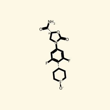 NC(=O)[C@H]1CN(c2cc(F)c([C@H]3CC[S@+]([O-])CC3)c(F)c2)C(=O)O1